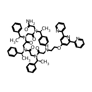 C[C@@H](c1ccccc1)N(CC(N)=O)C(=O)CN(C(=O)CN(C(=O)CN(C(=O)CNCCOc1cc(-c2ccccn2)nc(-c2ccccn2)c1)[C@@H](C)c1ccccc1)[C@@H](C)c1ccccc1)[C@@H](C)c1ccccc1